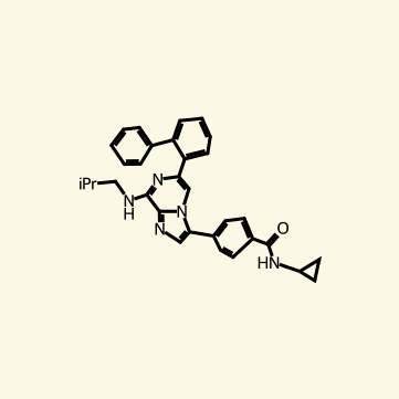 CC(C)CNc1nc(-c2ccccc2-c2ccccc2)cn2c(-c3ccc(C(=O)NC4CC4)cc3)cnc12